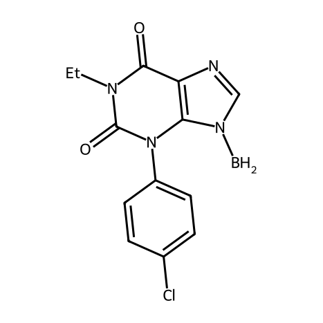 Bn1cnc2c(=O)n(CC)c(=O)n(-c3ccc(Cl)cc3)c21